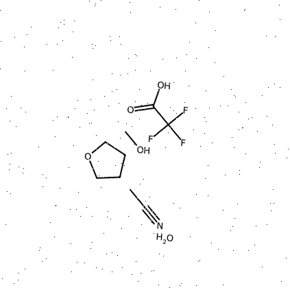 C1CCOC1.CC#N.CO.O.O=C(O)C(F)(F)F